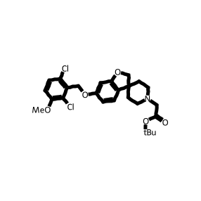 COc1ccc(Cl)c(COc2ccc3c(c2)OCC32CCN(CC(=O)OC(C)(C)C)CC2)c1Cl